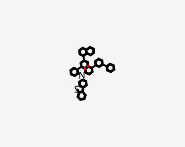 c1ccc(-c2cccc(-c3ccc(N(c4ccc5c(c4)sc4ccccc45)c4ccccc4-c4cccc(-c5cccc6ccccc56)c4)cc3)c2)cc1